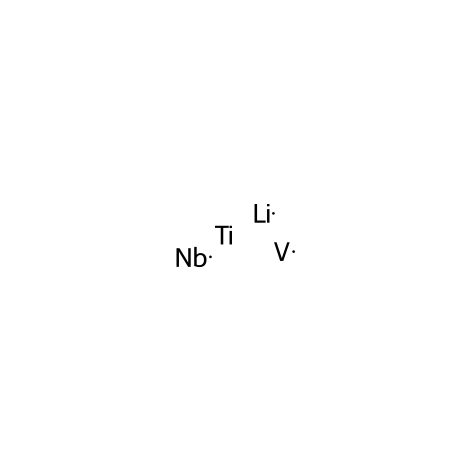 [Li].[Nb].[Ti].[V]